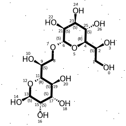 OC[C@H](O)[C@H]1O[C@H](OC[C@H](O)[C@H]2O[C@H](O)[C@@H](O)[C@@H](O)[C@@H]2O)[C@@H](O)[C@@H](O)[C@@H]1O